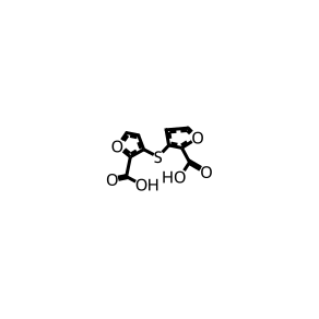 O=C(O)c1occc1Sc1ccoc1C(=O)O